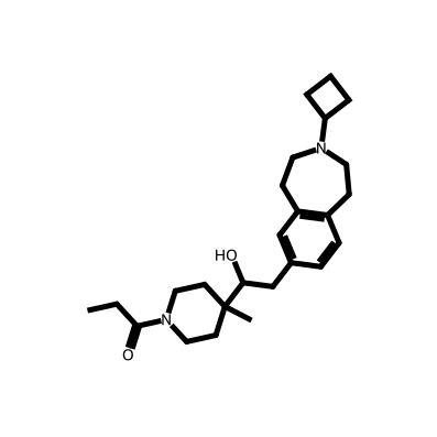 CCC(=O)N1CCC(C)(C(O)Cc2ccc3c(c2)CCN(C2CCC2)CC3)CC1